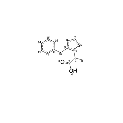 CC(C(=O)O)c1sccc1Cc1ccccc1